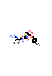 CC(C)CON=C(C(=O)NC1C(=O)N2C(C(=O)OCc3ccc([N+](=O)[O-])cc3)=C(O)CS[C@@H]12)c1csc(N)n1